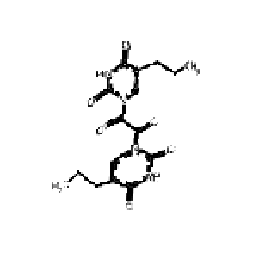 CCCc1cn(C(=O)C(=O)n2cc(CCC)c(=O)[nH]c2=O)c(=O)[nH]c1=O